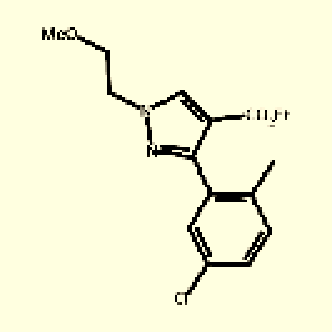 CCOC(=O)c1cn(CCOC)nc1-c1cc(Cl)ccc1C